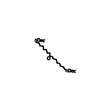 CCCCCCCCCCCCCCCCCCC(=O)CCCCCCCCCCCCCCCCCC